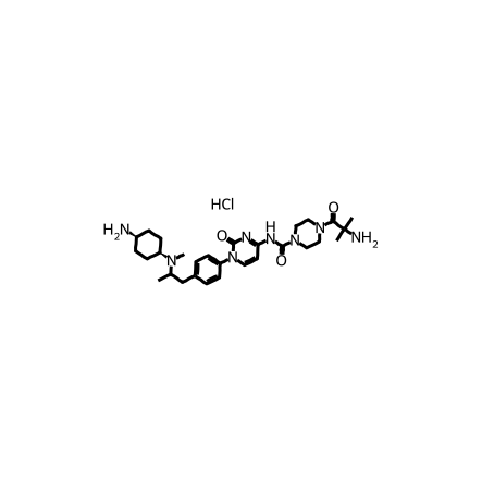 CC(Cc1ccc(-n2ccc(NC(=O)N3CCN(C(=O)C(C)(C)N)CC3)nc2=O)cc1)N(C)[C@H]1CC[C@@H](N)CC1.Cl